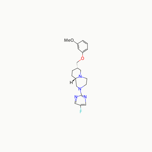 COc1cccc(OC[C@H]2CC[C@H]3CN(c4ncc(F)cn4)CCN3C2)c1